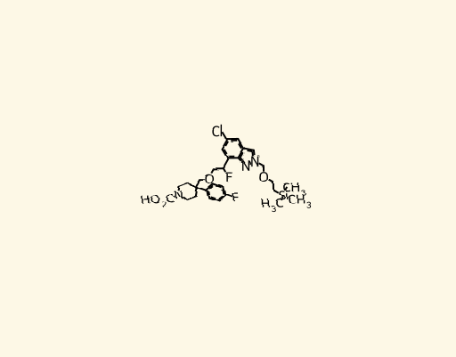 C[Si](C)(C)CCOCn1cc2cc(Cl)cc(C(F)COCC3(c4ccc(F)cc4)CCN(C(=O)O)CC3)c2n1